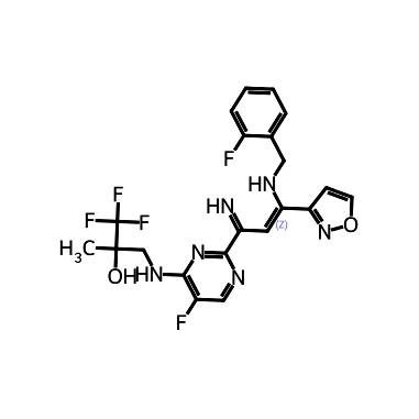 CC(O)(CNc1nc(C(=N)/C=C(\NCc2ccccc2F)c2ccon2)ncc1F)C(F)(F)F